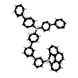 c1ccc(-c2ccc(N(c3ccc(-c4ccccc4)cc3)c3ccc(-c4cccc(-c5cccc(-n6c7cccc8ccc9cccc6c9c87)c5)c4)cc3)cc2)cc1